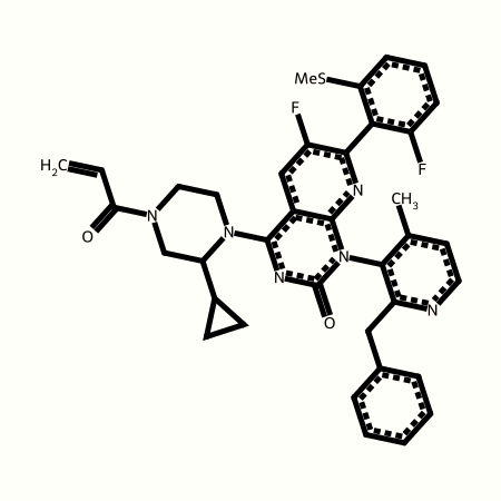 C=CC(=O)N1CCN(c2nc(=O)n(-c3c(C)ccnc3Cc3ccccc3)c3nc(-c4c(F)cccc4SC)c(F)cc23)C(C2CC2)C1